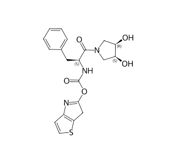 O=C(N[C@@H](Cc1ccccc1)C(=O)N1C[C@@H](O)[C@@H](O)C1)OC1=Nc2ccsc2C1